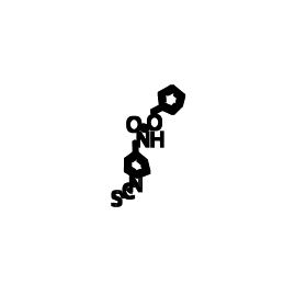 O=C(NCc1ccc(N=C=S)cc1)OCc1ccccc1